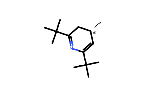 C[C@@H]1C=C(C(C)(C)C)N=C(C(C)(C)C)C1